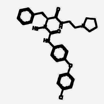 O=C(NCCN1CCCC1)[C@H](Cc1ccccc1)N(S)C(=O)Nc1ccc(Oc2ccc(Cl)cc2)cc1